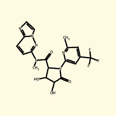 Cc1cc(C(F)(F)F)cc(N2C(=O)C(O)C(O)C2C(=O)N(C)c2ccc3nccn3n2)n1